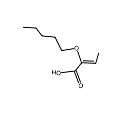 C/C=C(\OCCCCC)C(=O)O